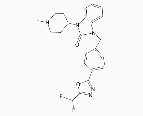 CN1CCC(n2c(=O)n(Cc3ccc(-c4nnc(C(F)F)o4)cc3)c3ccccc32)CC1